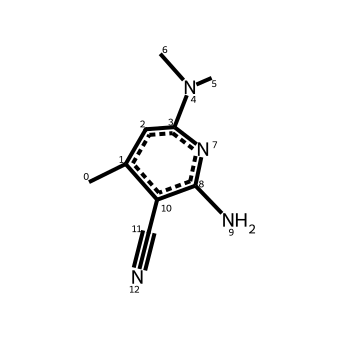 Cc1cc(N(C)C)nc(N)c1C#N